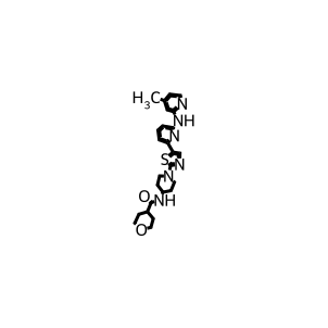 Cc1ccnc(Nc2cccc(-c3cnc(N4CCC(NC(=O)C5CCOCC5)CC4)s3)n2)c1